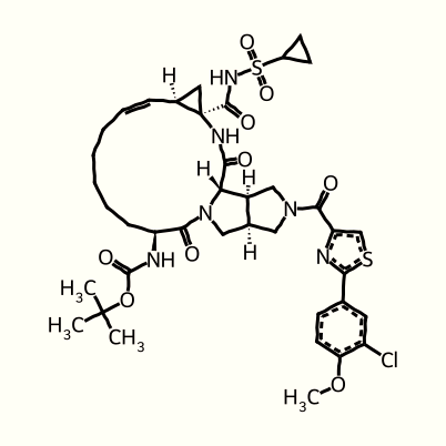 COc1ccc(-c2nc(C(=O)N3C[C@H]4CN5C(=O)[C@@H](NC(=O)OC(C)(C)C)CCCCC/C=C\[C@H]6C[C@@]6(C(=O)NS(=O)(=O)C6CC6)NC(=O)[C@@H]5[C@H]4C3)cs2)cc1Cl